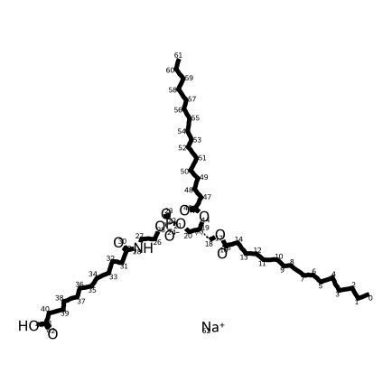 CCCCCCCCCCCCCCCC(=O)OC[C@H](COP(=O)([O-])OCCNC(=O)CCCCCCCCCCC(=O)O)OC(=O)CCCCCCCCCCCCCCC.[Na+]